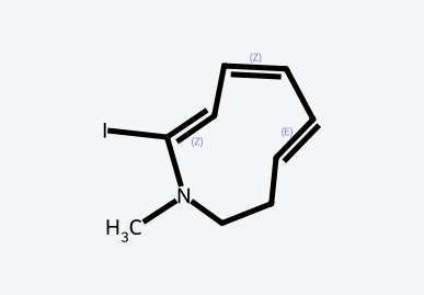 CN1CC/C=C/C=C\C=C\1I